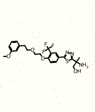 COc1cccc(CCOCCOc2ccc(-c3nnc(C(C)(N)CO)s3)cc2C(F)(F)F)c1